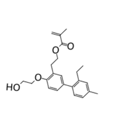 C=C(C)C(=O)OCCc1cc(-c2ccc(C)cc2CC)ccc1OCCO